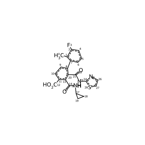 Cc1c(F)cccc1-c1ccc(C(=O)O)c(C(=O)NC2CC2)c1C(=O)Nc1nccs1